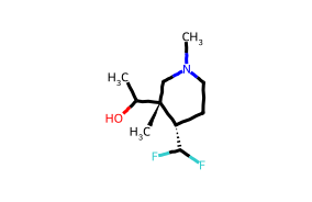 CC(O)[C@]1(C)CN(C)CC[C@@H]1C(F)F